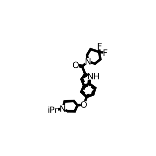 CC(C)N1CCC(Oc2ccc3[nH]c(C(=O)N4CCC(F)(F)CC4)cc3c2)CC1